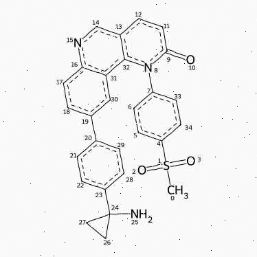 CS(=O)(=O)c1ccc(-n2c(=O)ccc3cnc4ccc(-c5ccc(C6(N)CC6)cc5)cc4c32)cc1